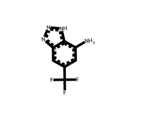 Nc1cc(C(F)(F)F)cc2nn[nH]c12